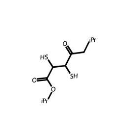 CC(C)CC(=O)C(S)C(S)C(=O)OC(C)C